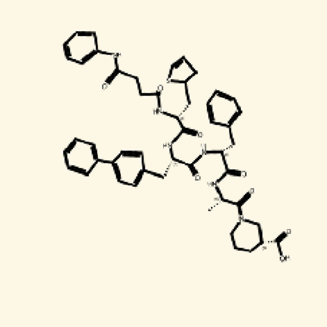 C[C@H](NC(=O)[C@@H](Cc1ccccc1)NC(=O)[C@H](Cc1ccc(-c2ccccc2)cc1)NC(=O)[C@@H](CC1CC=CS1)NC(=O)CCC(=O)Nc1ccccc1)C(=O)N1CCC[C@@H](C(=O)O)C1